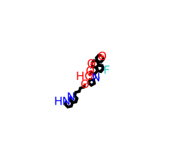 C[C@@H]1OCC2(CCOCC2)c2cc(F)cc([C@H](C(=O)O)N(C)[C@H]3CC[C@H](OCCCCc4ccc5c(n4)NCCC5)C3)c21